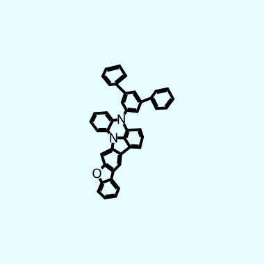 c1ccc(-c2cc(-c3ccccc3)cc(N3c4ccccc4-n4c5cc6oc7ccccc7c6cc5c5cccc3c54)c2)cc1